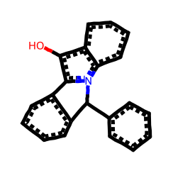 Oc1c2n(c3ccccc13)C(c1ccccc1)c1ccccc1-2